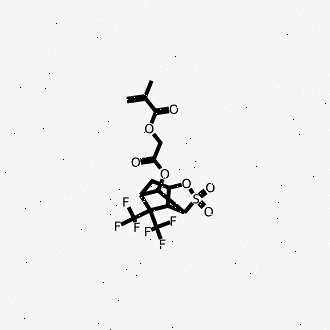 C=C(C)C(=O)OCC(=O)OC1C2CC3OS(=O)(=O)C1C3C2(C(F)(F)F)C(F)(F)F